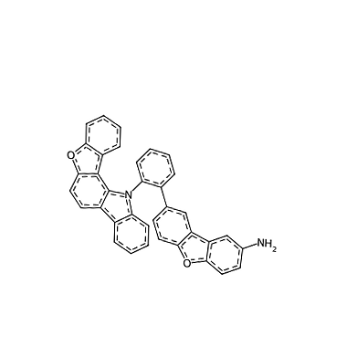 Nc1ccc2oc3ccc(-c4ccccc4-n4c5ccccc5c5ccc6oc7ccccc7c6c54)cc3c2c1